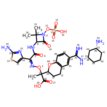 CC(ON=C(C(=O)NC1C(=O)N(OS(=O)(=O)O)C1(C)C)c1csc(N)n1)(C(=O)O)C1CCc2cc(C(=N)N[C@H]3CCC[C@@H](N)C3)ccc2O1